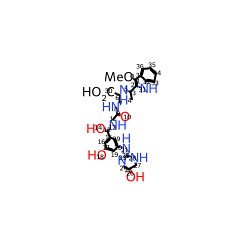 COc1c(C(C)NC(CNC(=O)CNC(O)c2cc(O)cc(NC3=NCC(O)CN3)c2)C(=O)O)[nH]c2ccccc12